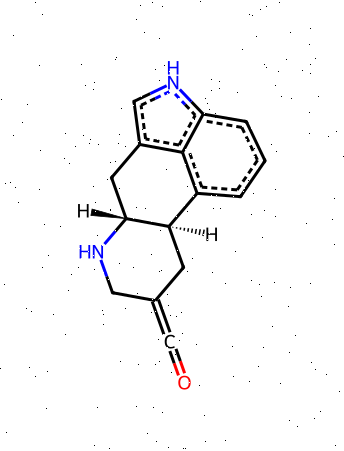 O=C=C1CN[C@@H]2Cc3c[nH]c4cccc(c34)[C@H]2C1